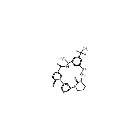 CNc1cc(C(C)NC(=O)c2ccc(=O)n(-c3cccc(N4CCCNC4=O)c3)c2)cc(C(C)(F)F)c1